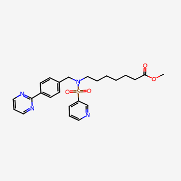 COC(=O)CCCCCCN(Cc1ccc(-c2ncccn2)cc1)S(=O)(=O)c1cccnc1